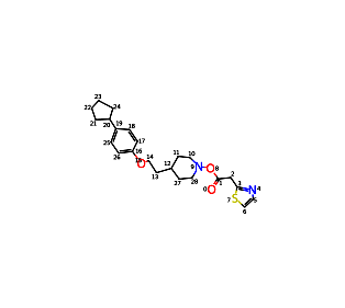 O=C(Cc1nccs1)ON1CCC(CCOc2ccc(C3CCCC3)cc2)CC1